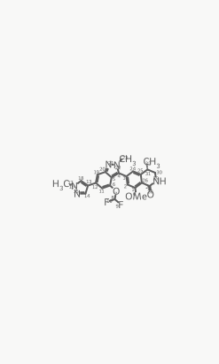 COc1cc(-c2c3c(OC(F)F)cc(-c4cnn(C)c4)cc3nn2C)cc2c1C(=O)NC[C@@H]2C